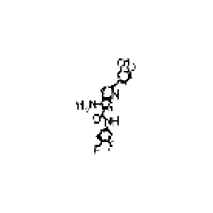 Nc1c(C(=O)Nc2ccc(F)c(F)c2)sc2nc(-c3ccc4c(c3)OCO4)ccc12